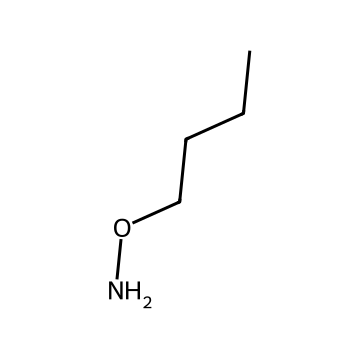 CCCCON